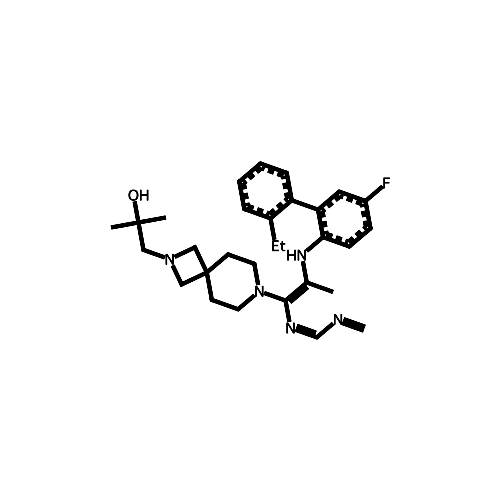 C=N/C=N\C(=C(/C)Nc1ccc(F)cc1-c1ccccc1CC)N1CCC2(CC1)CN(CC(C)(C)O)C2